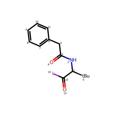 CC(C)(C)C(NC(=O)Cc1ccccc1)C(=O)I